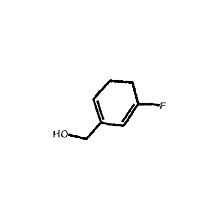 OCC1=CCCC(F)=C1